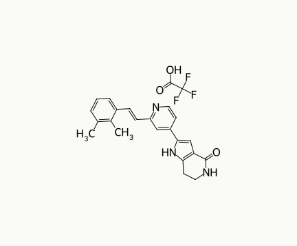 Cc1cccc(/C=C/c2cc(-c3cc4c([nH]3)CCNC4=O)ccn2)c1C.O=C(O)C(F)(F)F